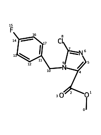 COC(=O)c1cnc(Cl)n1Cc1ccc(F)cc1